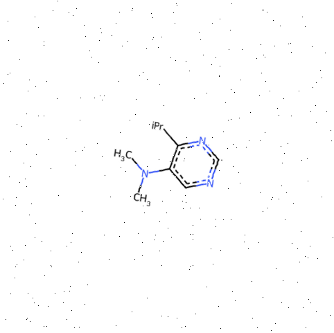 CC(C)c1n[c]ncc1N(C)C